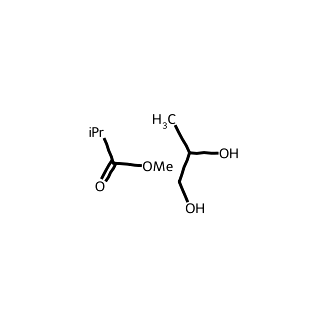 CC(O)CO.COC(=O)C(C)C